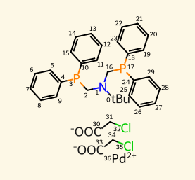 CC(C)(C)N(CP(c1ccccc1)c1ccccc1)CP(c1ccccc1)c1ccccc1.O=C([O-])CCl.O=C([O-])CCl.[Pd+2]